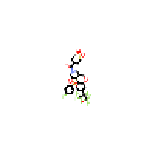 O=C(C1CCS(=O)(=O)CC1)N1CCC2(S(=O)(=O)c3ccc(F)cc3)c3ccc(C(F)(C(F)(F)F)C(F)(F)F)cc3OCC2C1